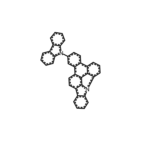 c1ccc2c(c1)c1ccccc1n2-c1ccc2c(c1)c1ccc3c4ccccc4n4c5cccc2c5c1c34